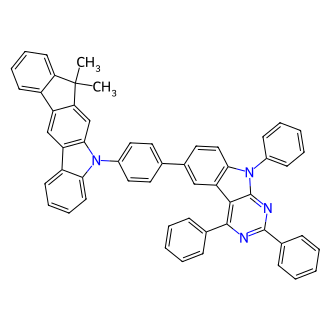 CC1(C)c2ccccc2-c2cc3c4ccccc4n(-c4ccc(-c5ccc6c(c5)c5c(-c7ccccc7)nc(-c7ccccc7)nc5n6-c5ccccc5)cc4)c3cc21